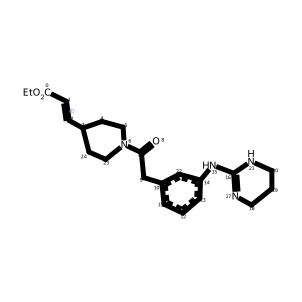 CCOC(=O)/C=C/C1CCN(C(=O)Cc2cccc(NC3=NCCCN3)c2)CC1